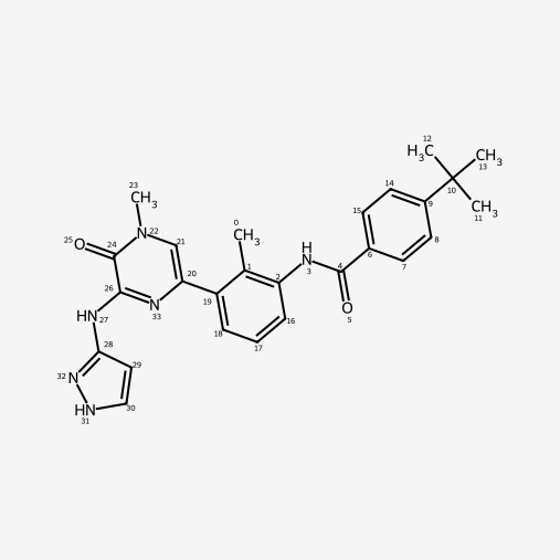 Cc1c(NC(=O)c2ccc(C(C)(C)C)cc2)cccc1-c1cn(C)c(=O)c(Nc2cc[nH]n2)n1